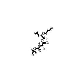 C=CC[C@@H](OCCCC)[C@H](C)OC(=O)[C@H](C)NC(=O)OC(C)(C)C